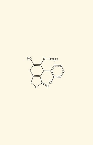 CCOC(=O)OC1=C(O)CC2=C(C(=O)OC2)C1c1ccccc1Cl